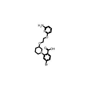 Nc1cccc(OCCOC2CCCN(c3cc(Br)ccc3C(=O)O)C2)n1